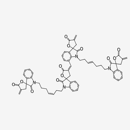 C=C1CC2(OC1=O)C(=O)N(CCC/C=C\CCN1C(=O)C3(C/C(=C/c4cccc5c4N(CC/C=C/CCCN4C(=O)C6(CC(=C)C(=O)O6)c6ccccc64)C(=O)C54CC(=C)C(=O)O4)C(=O)O3)c3ccccc31)c1ccccc12